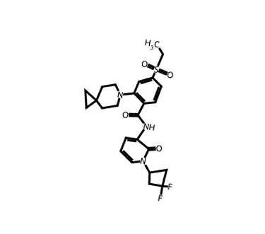 CCS(=O)(=O)c1ccc(C(=O)Nc2cccn(C3CC(F)(F)C3)c2=O)c(N2CCC3(CC2)CC3)c1